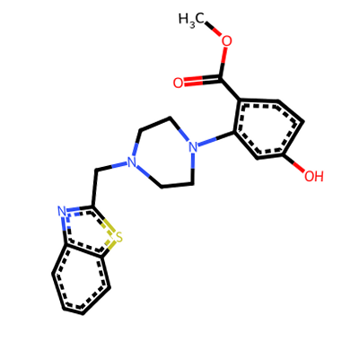 COC(=O)c1ccc(O)cc1N1CCN(Cc2nc3ccccc3s2)CC1